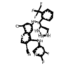 N#Cc1cnc2c(Cl)cc(N[C@H](C3=CNNN3)c3ccccc3C(F)(F)F)cc2c1Nc1cnc(F)c(F)c1